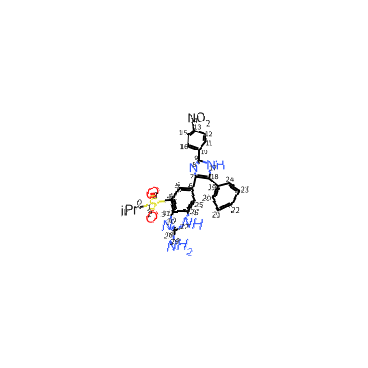 CC(C)S(=O)(=O)c1cc(-c2nc(-c3ccc([N+](=O)[O-])cc3)[nH]c2-c2ccccc2)cc2[nH]c(N)nc12